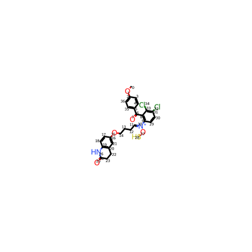 COc1ccc(C(=O)c2c([N+](=CCCCOc3ccc4c(c3)CCC(=O)N4)OS)ccc(Cl)c2Cl)cc1